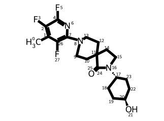 Cc1c(F)c(F)nc(N2CCC3(CC2)CCN([C@H]2CC[C@H](O)CC2)C3=O)c1F